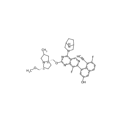 C#Cc1c(F)ccc2cc(O)cc(-c3ncc4c(N5CC6CCC(C5)N6)nc(OC[C@]56CC[C@H](COC)N5CC(C)C6)nc4c3F)c12